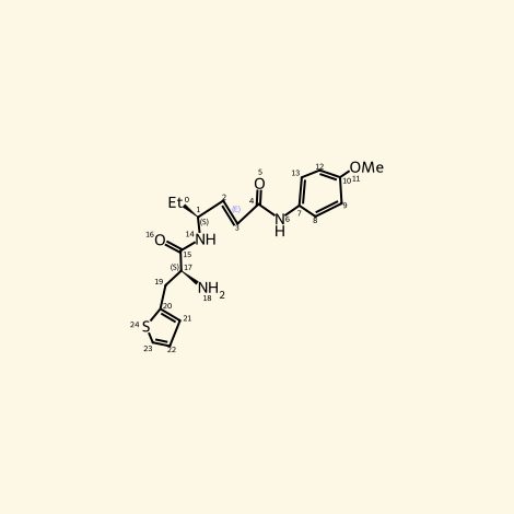 CC[C@@H](/C=C/C(=O)Nc1ccc(OC)cc1)NC(=O)[C@@H](N)Cc1cccs1